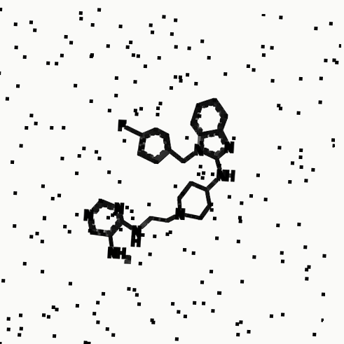 Nc1cncnc1NCCN1CCC(Nc2nc3ccccc3n2Cc2ccc(F)cc2)CC1